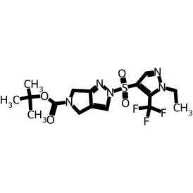 CCn1ncc(S(=O)(=O)n2cc3c(n2)CN(C(=O)OC(C)(C)C)C3)c1C(F)(F)F